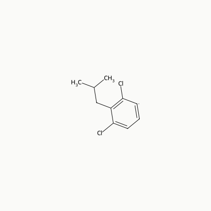 CC(C)Cc1c(Cl)[c]ccc1Cl